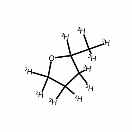 [2H]C([2H])([2H])C1([2H])OC([2H])([2H])C([2H])([2H])C1([2H])[2H]